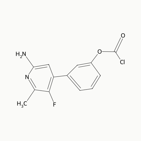 Cc1nc(N)cc(-c2cccc(OC(=O)Cl)c2)c1F